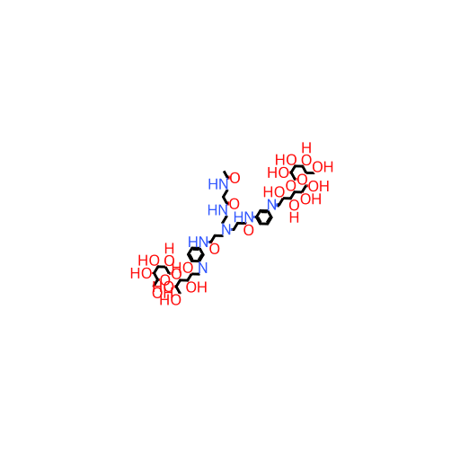 CC(=O)NCCC(=O)NCCN(CCC(=O)Nc1cccc(/N=C\C(O)[C@H](O)[C@H](OC2OC(CO)[C@@H](O)[C@@H](O)C2O)C(O)CO)c1)CCC(=O)Nc1cccc(/N=C/C(O)[C@H](O)[C@H](O[C@H]2OC(CO)[C@@H](O)[C@@H](O)C2O)C(O)CO)c1